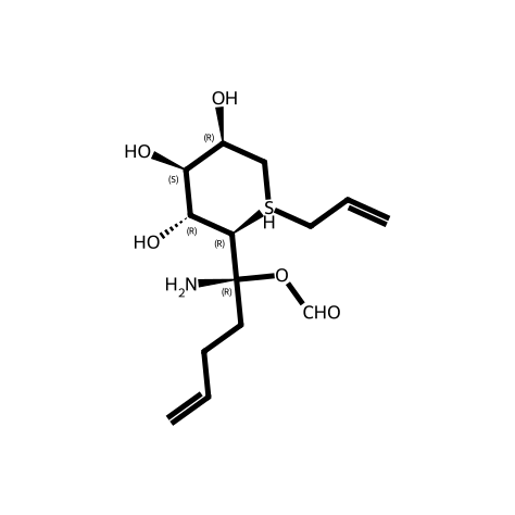 C=CCC[C@@](N)(OC=O)[C@H]1[C@H](O)[C@@H](O)[C@@H](O)C[SH]1CC=C